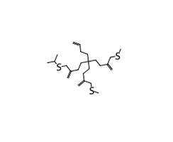 C=CCCC(CCC(=C)CSC)(CCC(=C)CSC)CCC(=C)CSC(C)C